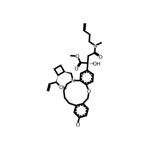 C=CCCN(C)C(=O)C[C@](O)(C(=O)OC)c1ccc2c(c1)N(C[C@@H]1CC[C@H]1C(O)C=C)CCCCc1cc(Cl)ccc1CO2